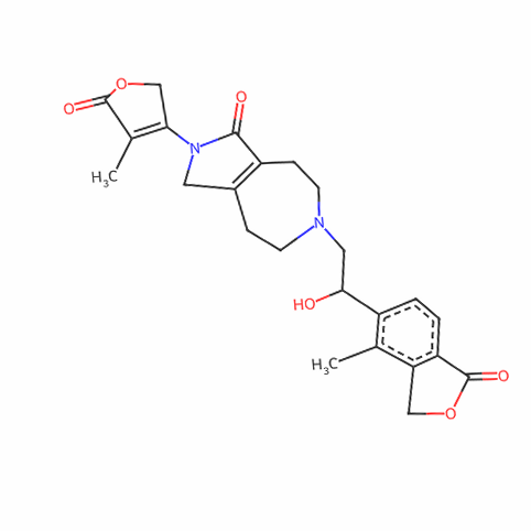 CC1=C(N2CC3=C(CCN(CC(O)c4ccc5c(c4C)COC5=O)CC3)C2=O)COC1=O